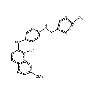 COc1cnc2ccc(Nc3ccc(NCc4ccc(C(F)(F)F)nc4)nc3)c(C#N)c2n1